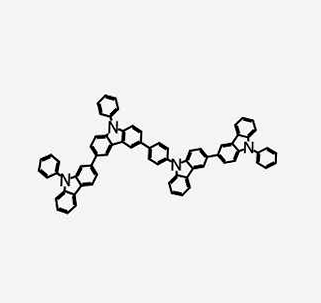 c1ccc(-n2c3ccccc3c3cc(-c4ccc5c(c4)c4ccccc4n5-c4ccc(-c5ccc6c(c5)c5cc(-c7ccc8c9ccccc9n(-c9ccccc9)c8c7)ccc5n6-c5ccccc5)cc4)ccc32)cc1